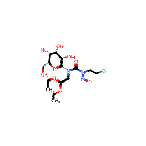 CCOC(CN(C(=O)N(CCCl)N=O)[C@@H]1O[C@H](CO)[C@H](O)[C@H](O)[C@H]1O)OCC